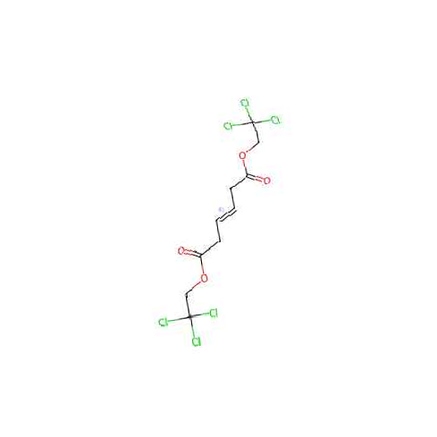 O=C(C/C=C/CC(=O)OCC(Cl)(Cl)Cl)OCC(Cl)(Cl)Cl